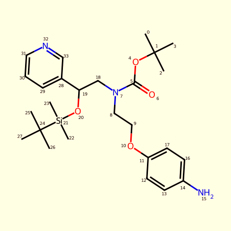 CC(C)(C)OC(=O)N(CCOc1ccc(N)cc1)CC(O[Si](C)(C)C(C)(C)C)c1cccnc1